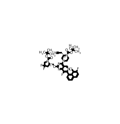 CC(C)(C)OC(=O)N1CCN(c2nc(OC[C@@H]3CC(F)(F)CN3C(=O)OC(C)(C)C)nc3c(F)c(-c4cccc5ccc(F)c(Cl)c45)ncc23)C[C@@H]1CC#N